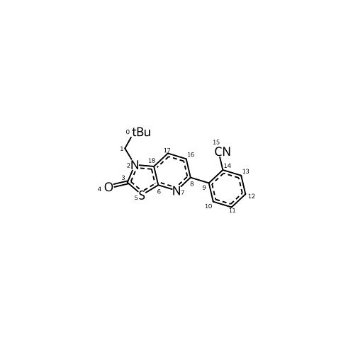 CC(C)(C)Cn1c(=O)sc2nc(-c3ccccc3C#N)ccc21